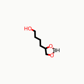 OCCCCC1COBO1